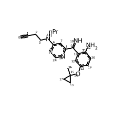 C#CCCN(CCC)c1cc(C(=N)c2cc(OC3(C)CC3)ccc2N)ncn1